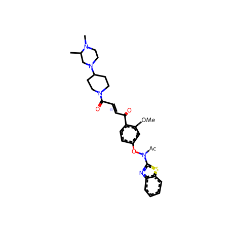 COc1cc(ON(C(C)=O)c2nc3ccccc3s2)ccc1C(=O)/C=C/C(=O)N1CCC(N2CCN(C)C(C)C2)CC1